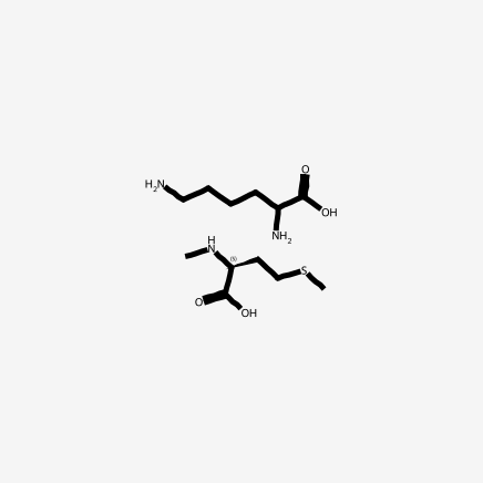 CN[C@@H](CCSC)C(=O)O.NCCCCC(N)C(=O)O